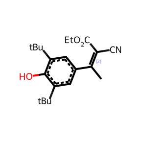 CCOC(=O)/C(C#N)=C(/C)c1cc(C(C)(C)C)c(O)c(C(C)(C)C)c1